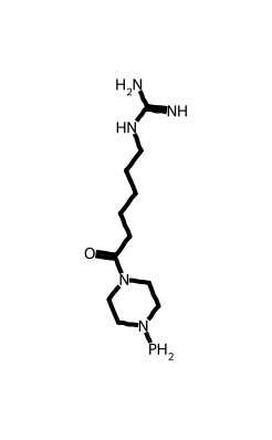 N=C(N)NCCCCCC(=O)N1CCN(P)CC1